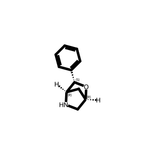 c1ccc([C@@H]2O[C@H]3CN[C@@H]2C3)cc1